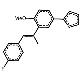 COc1ccc(-c2cccs2)cc1C(C)=Cc1ccc(F)cc1